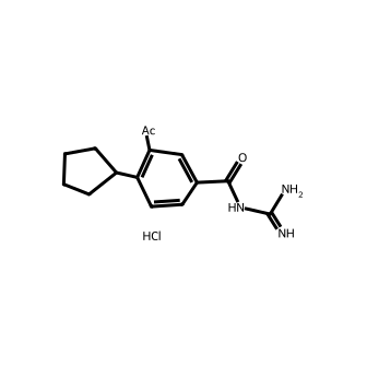 CC(=O)c1cc(C(=O)NC(=N)N)ccc1C1CCCC1.Cl